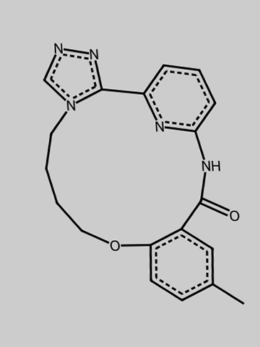 Cc1ccc2c(c1)C(=O)Nc1cccc(n1)-c1nncn1CCCCO2